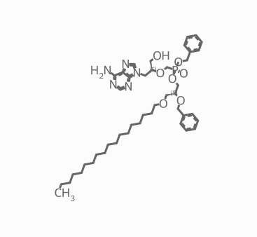 CCCCCCCCCCCCCCCCCCOC[C@@H](COP(=O)(CO[C@H](CO)Cn1cnc2c(N)ncnc21)OCc1ccccc1)OCc1ccccc1